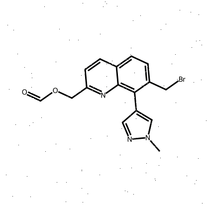 Cn1cc(-c2c(CBr)ccc3ccc(COC=O)nc23)cn1